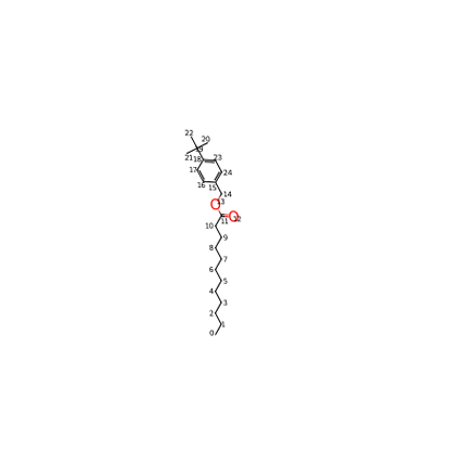 CCCCCCCCCCCC(=O)OCc1ccc(C(C)(C)C)cc1